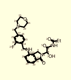 CCC(=O)NC(=O)C(O)N1Cc2c(NCc3ccc(CN4CCOCC4)cc3F)cccc2C1=O